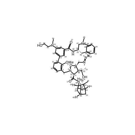 COc1c(CN2O[C@@H](CN=[N+]=[N-])[C@@H]([C@H](C)O)[C@H]2C(=O)N[C@H]2C[C@H]3C[C@@H]([C@@H]2C)C3(C)C)cccc1-c1cc(C(=O)N[C@@H](Cc2ccccc2)CN(C)C)cc(N(C)CCO)c1